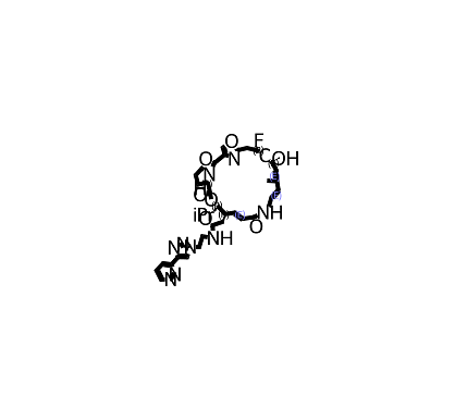 CC1=C\[C@@H](O)C[C@@H](F)Cc2nc(co2)C(=O)N2CCC[C@@H]2C(=O)O[C@H](C(C)C)[C@H](CC(=O)NCCn2cc(-c3cccnn3)nn2)/C=C/C(=O)NC\C=C\1